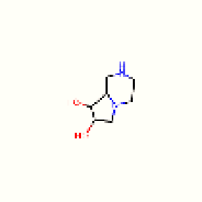 OC1CN2CCNCC2C1O